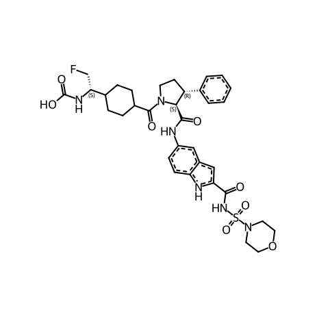 O=C(O)N[C@H](CF)C1CCC(C(=O)N2CC[C@H](c3ccccc3)[C@H]2C(=O)Nc2ccc3[nH]c(C(=O)NS(=O)(=O)N4CCOCC4)cc3c2)CC1